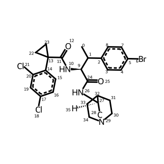 CC(c1ccc(Br)cc1)[C@H](NC(=O)C1(c2ccc(Cl)cc2Cl)CC1)C(=O)N[C@@H]1CN2CCC1CC2